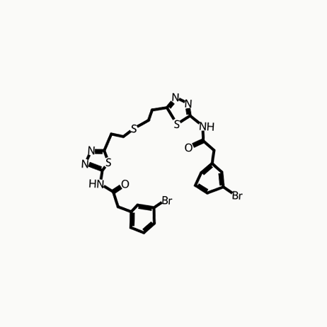 O=C(Cc1cccc(Br)c1)Nc1nnc(CCSCCc2nnc(NC(=O)Cc3cccc(Br)c3)s2)s1